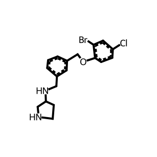 Clc1ccc(OCc2cccc(CNC3CCNC3)c2)c(Br)c1